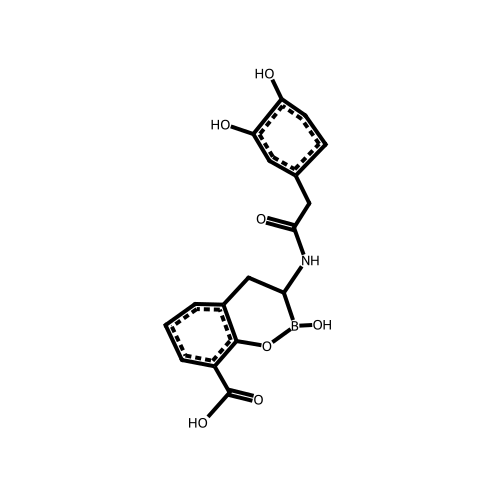 O=C(Cc1ccc(O)c(O)c1)NC1Cc2cccc(C(=O)O)c2OB1O